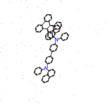 c1ccc(N(c2ccc(-c3ccc(N(c4ccccc4)c4ccc5c6c(cccc46)C46c7ccccc7-c7ccccc7C54c4ccccc4-c4ccccc46)cc3)cc2)c2cccc3ccccc23)cc1